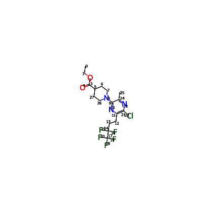 CCOC(=O)C1CCN(c2nc(CCC(F)(F)C(F)(F)F)c(Cl)nc2C)CC1